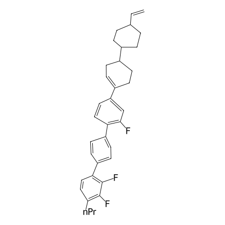 C=CC1CCC(C2CC=C(c3ccc(-c4ccc(-c5ccc(CCC)c(F)c5F)cc4)c(F)c3)CC2)CC1